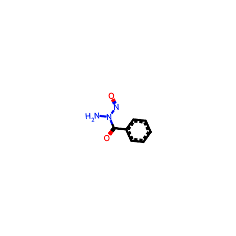 NN(N=O)C(=O)c1ccccc1